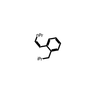 CCC/C=[C]\c1ccccc1CC(C)C